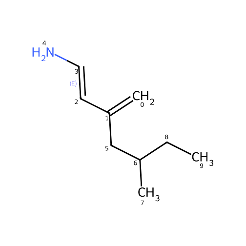 C=C(/C=C/N)CC(C)CC